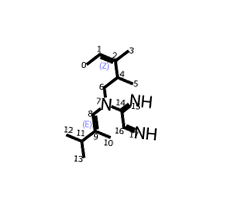 C/C=C(/C)C(C)CN(/C=C(\C)C(C)C)C(=N)C=N